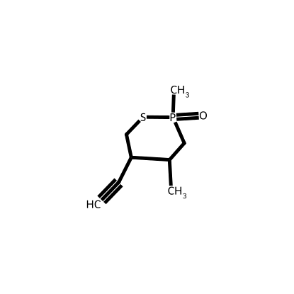 C#CC1CSP(C)(=O)CC1C